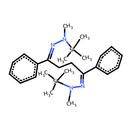 CN(N=C(CCC(=NN(C)[Si](C)(C)C)c1ccccc1)c1ccccc1)[Si](C)(C)C